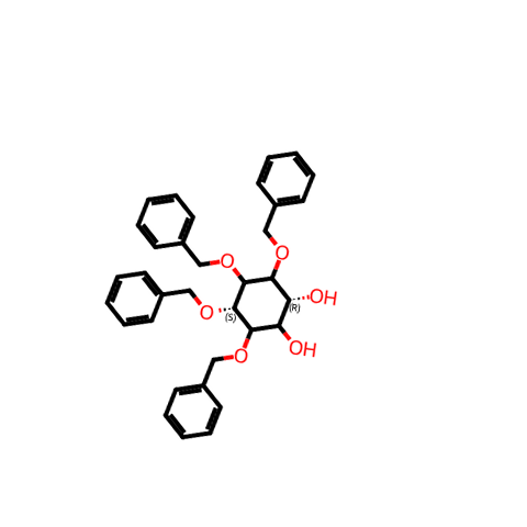 OC1C(OCc2ccccc2)[C@H](OCc2ccccc2)C(OCc2ccccc2)C(OCc2ccccc2)[C@@H]1O